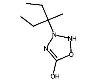 CCC(C)(CC)N1N=C(O)ON1